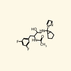 CC(=O)NC(Cc1cc(F)cc(F)c1)C(O)CNC1(n2cccn2)C2CCCC21